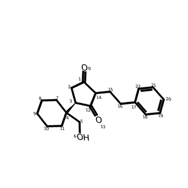 O=C1C[C@H](C2(CO)CCCCC2)C(=O)C1CCc1ccccc1